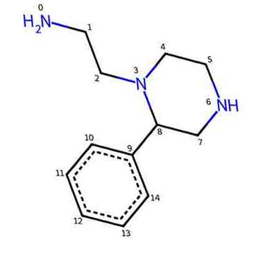 NCCN1CCNCC1c1ccccc1